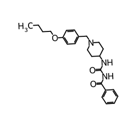 CCCCOc1ccc(CN2CCC(NC(=O)NC(=O)c3ccccc3)CC2)cc1